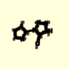 O=c1[nH]nnn1-c1nccs1